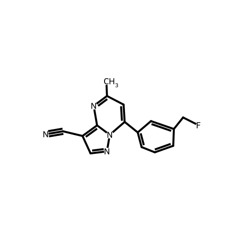 Cc1cc(-c2cccc(CF)c2)n2ncc(C#N)c2n1